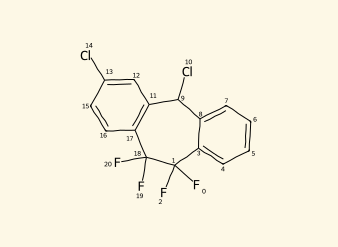 FC1(F)c2ccccc2C(Cl)c2cc(Cl)ccc2C1(F)F